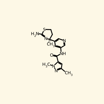 Cc1cc(C(=O)Nc2cncc([C@]3(C)CCSC(N)=N3)c2)n(C)n1